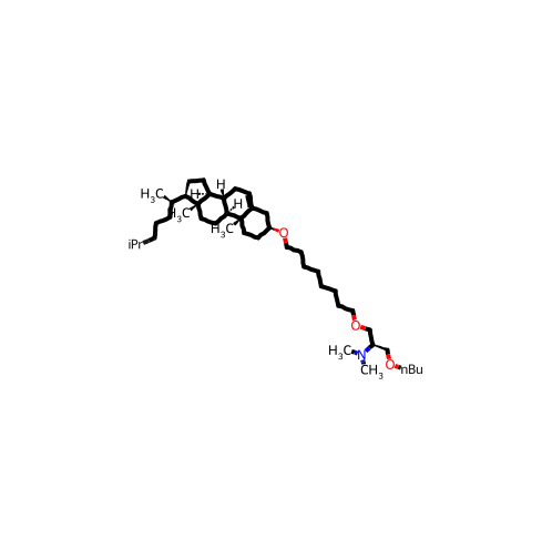 CCCCOC[C@H](COCCCCCCCCO[C@H]1CC[C@@]2(C)C(=CC[C@H]3[C@@H]4CC[C@H]([C@H](C)CCCC(C)C)[C@@]4(C)CC[C@@H]32)C1)N(C)C